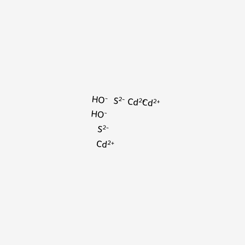 [Cd+2].[Cd+2].[Cd+2].[OH-].[OH-].[S-2].[S-2]